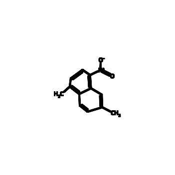 Cc1ccc2c(C)ccc([N+](=O)[O-])c2c1